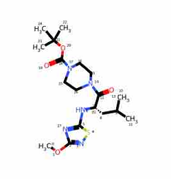 COc1nsc(N[C@@H](CC(C)C)C(=O)N2CCN(C(=O)OC(C)(C)C)CC2)n1